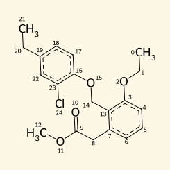 CCOc1cccc(CC(=O)OC)c1COc1ccc(CC)cc1Cl